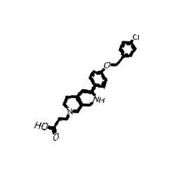 O=C(O)CCN1CCC2=C(CNC(c3ccc(OCc4ccc(Cl)cc4)cc3)=C2)C1